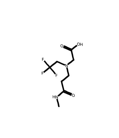 CNC(=O)CCN(CC(=O)O)CC(F)(F)F